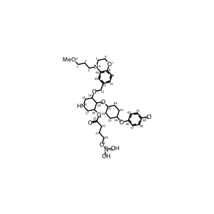 COCCCN1CCOc2ccc(COC3CNCC(OC(=O)CCCON(O)O)C3OC3CCC(Oc4ccc(Cl)cc4)CC3)cc21